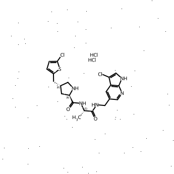 C[C@H](NC(=O)[C@H]1C[C@H](Cc2ccc(Cl)s2)CN1)C(=O)NCc1cnc2[nH]cc(Cl)c2c1.Cl.Cl